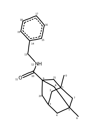 CC12CC3CC(C)(C1)CC(C(=O)NCc1ccccc1)(C3)C2